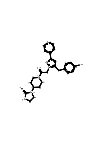 O=C(Cn1nc(-c2ccncc2)cc1Cc1ccc(F)cc1)N1CCC(N2CCOC2=O)CC1